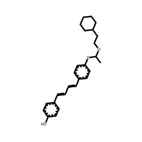 CC(OCCC1CCCCC1)Oc1ccc(C=CC=Cc2ccc(O)cc2)cc1